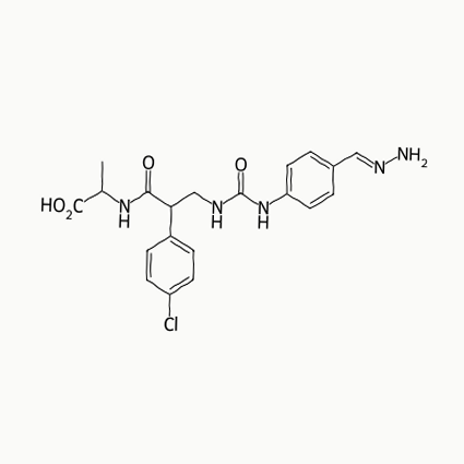 CC(NC(=O)C(CNC(=O)Nc1ccc(C=NN)cc1)c1ccc(Cl)cc1)C(=O)O